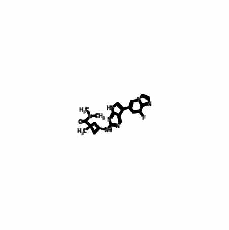 CN(C)C(=O)[C@]1(C)C[C@@H](Nc2ncc3c(-c4cc(F)c5nccn5c4)c[nH]c3n2)C1